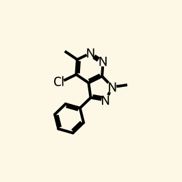 Cc1nnc2c(c(-c3ccccc3)nn2C)c1Cl